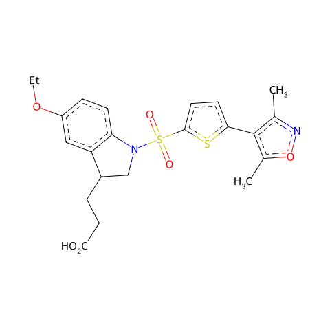 CCOc1ccc2c(c1)C(CCC(=O)O)CN2S(=O)(=O)c1ccc(-c2c(C)noc2C)s1